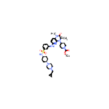 C[C@@H]1C(=O)N(C)c2ccc(Nc3cccc(S(=O)(=O)N[C@H]4CC[C@H](N5CCN(CC6CC6)CC5)CC4)c3)nc2N1C1CCN(C(=O)OC(C)(C)C)CC1